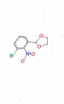 O=[N+]([O-])c1c(Br)cccc1C1OCCO1